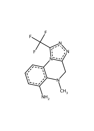 CN1Cc2nnc(C(F)(F)F)n2-c2cccc(N)c21